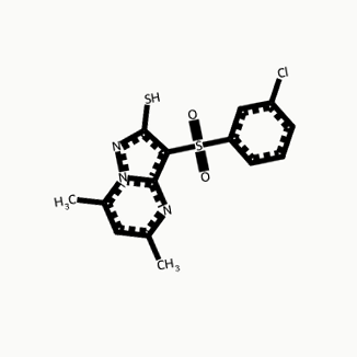 Cc1cc(C)n2nc(S)c(S(=O)(=O)c3cccc(Cl)c3)c2n1